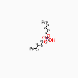 CC(C)CCCCOP(=O)(O)OCCCCC(C)C